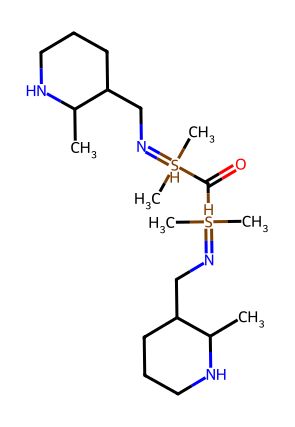 CC1NCCCC1CN=[SH](C)(C)C(=O)[SH](C)(C)=NCC1CCCNC1C